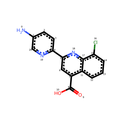 Nc1ccc(-c2cc(C(=O)O)c3cccc(Cl)c3n2)nc1